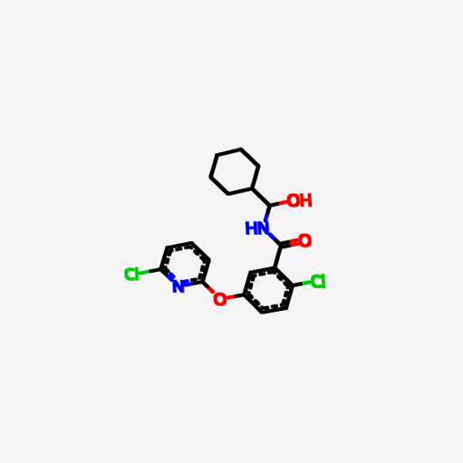 O=C(NC(O)C1CCCCC1)c1cc(Oc2cccc(Cl)n2)ccc1Cl